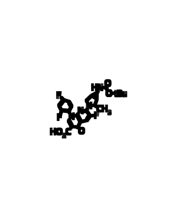 CC1C2C(CN1c1nc3c(cc1F)c(=O)c(C(=O)O)cn3-c1ccc(F)cc1F)C2NC(=O)OC(C)(C)C